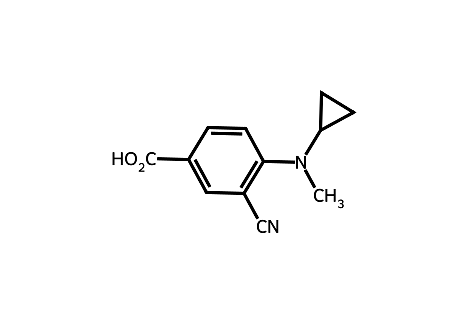 CN(c1ccc(C(=O)O)cc1C#N)C1CC1